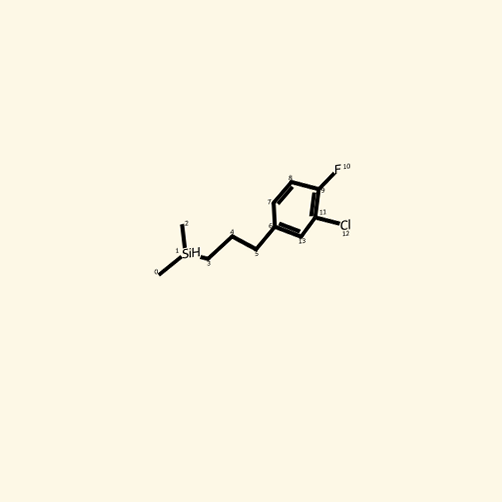 C[SiH](C)CCCc1ccc(F)c(Cl)c1